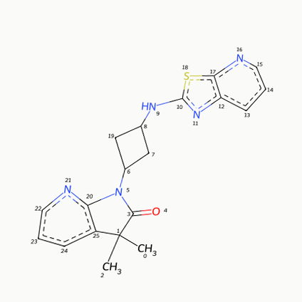 CC1(C)C(=O)N(C2CC(Nc3nc4cccnc4s3)C2)c2ncccc21